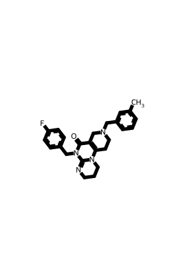 Cc1cccc(CN2CCC3=C(C2)C(=O)N(Cc2ccc(F)cc2)C2=NCCCN23)c1